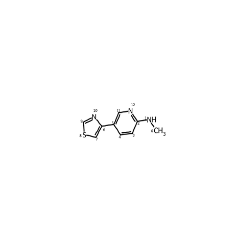 CNc1ccc(-c2cscn2)cn1